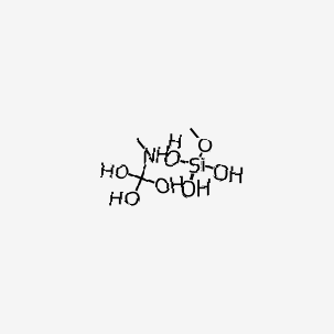 CNC(O)(O)O.CO[Si](O)(O)O